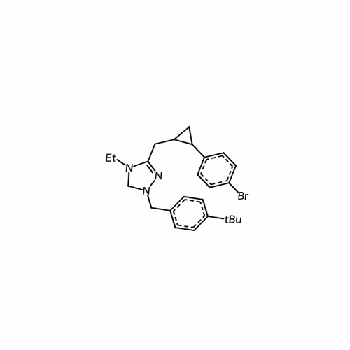 CCN1CN(Cc2ccc(C(C)(C)C)cc2)N=C1CC1CC1c1ccc(Br)cc1